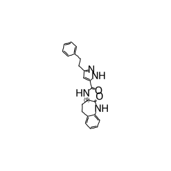 O=C(N[C@H]1CCc2ccccc2NC1=O)c1cc(CCc2ccccc2)n[nH]1